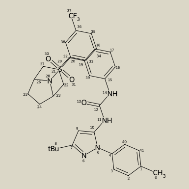 Cc1ccc(-n2nc(C(C)(C)C)cc2NC(=O)Nc2cccc(CC3CC4CCC(C3)N4S(=O)(=O)c3cccc(C(F)(F)F)c3)c2)cc1